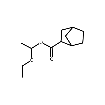 CCOC(C)OC(=O)C1CC2CCC1C2